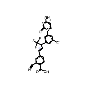 N#Cc1cc(/C=C/C(c2cc(Cl)cc(-n3ccc(N)nc3=O)c2)C(F)(F)F)ccc1C(=O)O